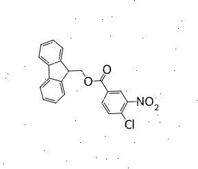 O=C(OCC1c2ccccc2-c2ccccc21)c1ccc(Cl)c([N+](=O)[O-])c1